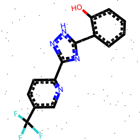 Oc1ccccc1-c1nc(-c2ccc(C(F)(F)F)cn2)n[nH]1